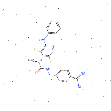 CO[C@H](C(=O)NCc1ccc(C(=N)N)cc1)c1c(F)ccc(Nc2ccccc2)c1F